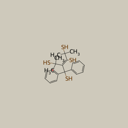 CC(C)(S)C(S)=C(C(C)(C)S)C(S)(c1ccccc1)c1ccccc1